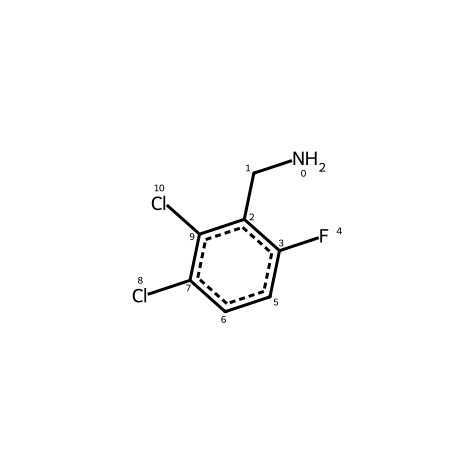 NCc1c(F)ccc(Cl)c1Cl